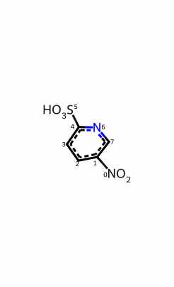 O=[N+]([O-])c1ccc(S(=O)(=O)O)nc1